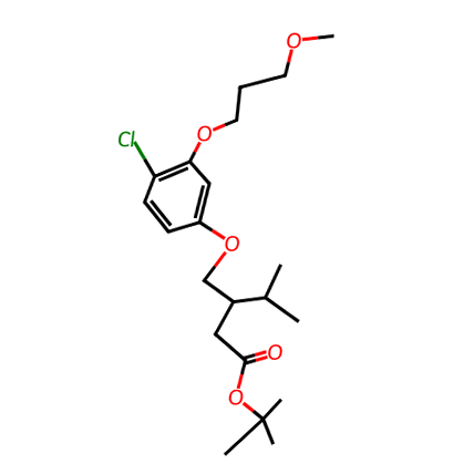 COCCCOc1cc(OCC(CC(=O)OC(C)(C)C)C(C)C)ccc1Cl